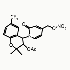 CC(=O)OC1C(n2ccc(CO[N+](=O)[O-])cc2=O)c2cc(C(F)(F)F)ccc2OC1(C)C